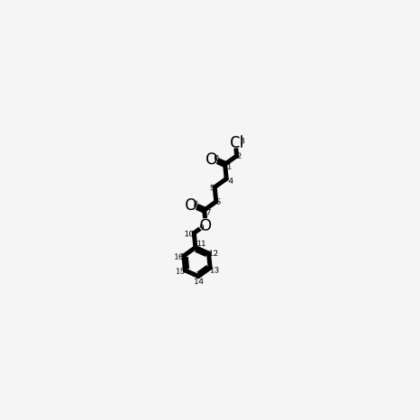 O=C(CCl)CCCC(=O)OCc1ccccc1